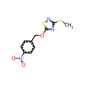 CSc1nsc(OCc2ccc([N+](=O)[O-])cc2)n1